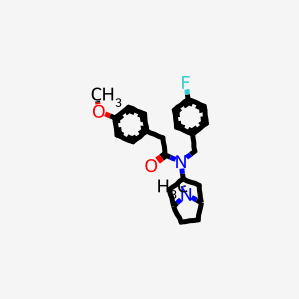 COc1ccc(CC(=O)N(Cc2ccc(F)cc2)C2CC3CCC(C2)N3C)cc1